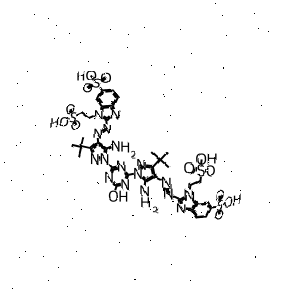 CC(C)(C)c1nn(-c2nc(O)nc(-n3nc(C(C)(C)C)c(N=Nc4nc5ccc(S(=O)(=O)O)cc5n4CCS(=O)(=O)O)c3N)n2)c(N)c1N=Nc1nc2ccc(S(=O)(=O)O)cc2n1CCS(=O)(=O)O